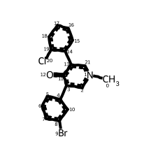 Cn1cc(-c2cccc(Br)c2)c(=O)c(-c2ccccc2Cl)c1